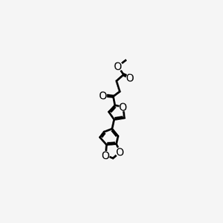 COC(=O)CCC(=O)c1cc(-c2ccc3c(c2)OCO3)co1